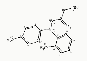 CC(C)(C)NC(=O)N[C@@H](c1ccc(C(F)(F)F)cc1)c1ncccc1C(F)(F)F